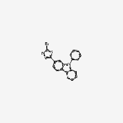 Brc1nnc(-c2ccc3c4ccccc4n(-c4ccccc4)c3c2)s1